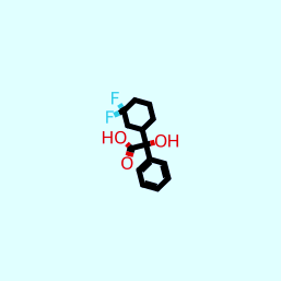 O=C(O)C(O)(c1ccccc1)C1CCCC(F)(F)C1